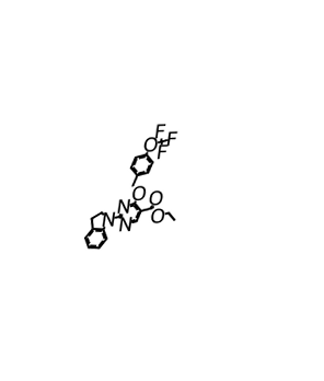 CCOC(=O)c1cnc(N2CCc3ccccc32)nc1OCc1ccc(OC(F)(F)F)cc1